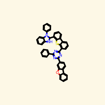 c1ccc(-c2nc(-c3ccc4c(c3)oc3ccccc34)nc(-c3cccc4c3sc3c(C5Nc6ccccc6N5c5ccccc5)cccc34)n2)cc1